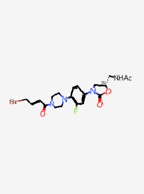 CC(=O)NC[C@H]1CN(c2ccc(N3CCN(C(=O)C=CCBr)CC3)c(F)c2)C(=O)O1